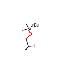 C[C@H](I)CO[Si](C)(C)C(C)(C)C